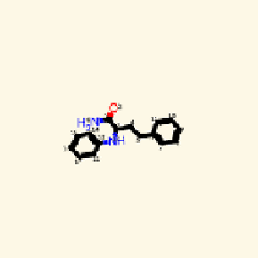 NC(=O)C(CCc1ccccc1)Nc1ccccc1